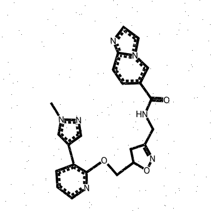 Cn1cc(-c2cccnc2OCC2CC(CNC(=O)c3ccc4nccn4c3)=NO2)cn1